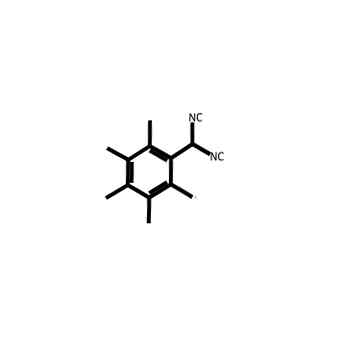 [C-]#[N+][C]([N+]#[C-])c1c([CH2])c(C)c(C)c(C)c1C